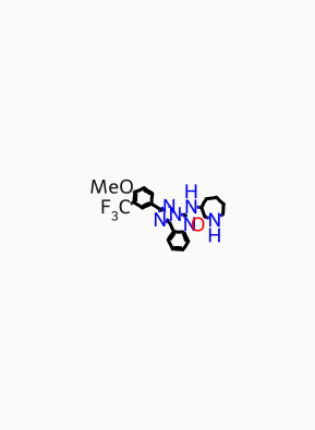 COc1ccc(-c2nc3c4ccccc4nc(NC4CCCCNC4=O)n3n2)cc1C(F)(F)F